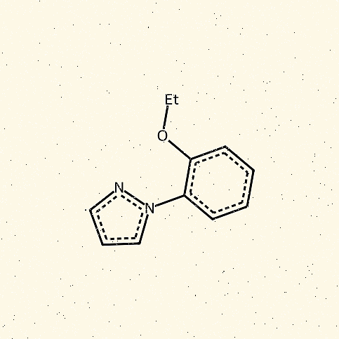 CCOc1ccccc1-n1cc[c]n1